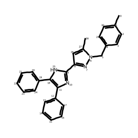 Cc1ccc(Cn2nc(-c3nc(-c4ccccc4)c(-c4ccccc4)[nH]3)cc2C)cc1